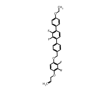 C=CCOc1ccc(OCc2ccc(-c3ccc(-c4ccc(OCC)cc4)c(F)c3F)cc2)c(F)c1F